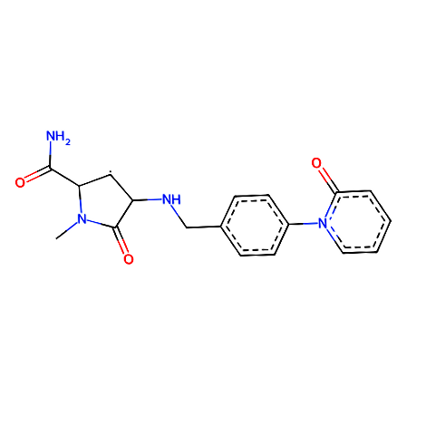 CN1C(=O)C(NCc2ccc(-n3ccccc3=O)cc2)[CH]C1C(N)=O